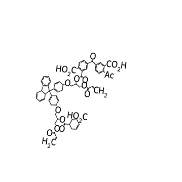 C=CC(=O)OCC(COC1C=CC(C2(C3=CCC(OCC(COC(=O)C=C)OC(=O)C4CC=CCC4C(=O)O)C=C3)c3ccccc3C3C=CC=CC32)=CC1)OC(=O)c1cc(C(=O)c2ccc(C(C)=O)c(C(=O)O)c2)ccc1C(=O)O